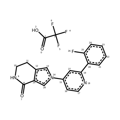 O=C(O)C(F)(F)F.O=C1NCCc2cn(-c3ccnc(-c4ccccc4F)c3)cc21